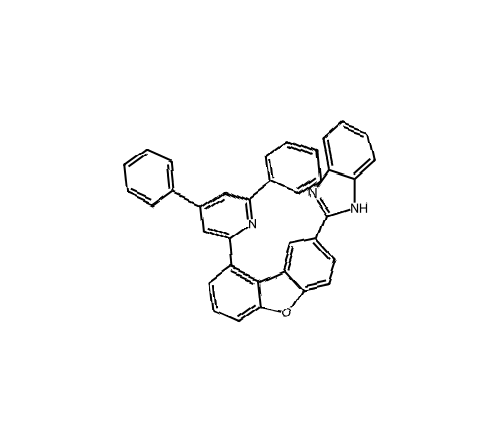 c1ccc(-c2cc(-c3ccccc3)nc(-c3cccc4oc5ccc(-c6nc7ccccc7[nH]6)cc5c34)c2)cc1